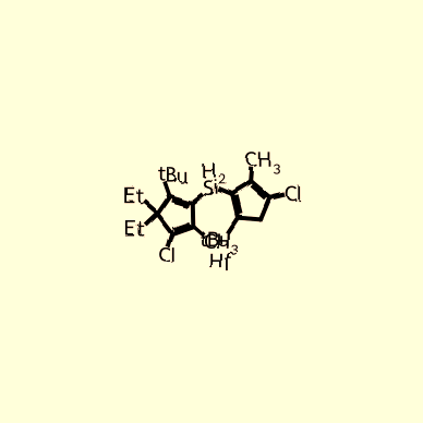 CCC1(CC)C(Cl)=C(C)C([SiH2]C2=C(C(C)(C)C)CC(Cl)=C2C)=C1C(C)(C)C.[Hf]